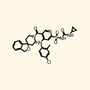 Cc1cc(Cl)ccc1Nc1cc(S(=O)(=O)NC(=O)NC2CC2)ncc1C(=O)N1CCC2(CC1)OCc1ccccc12